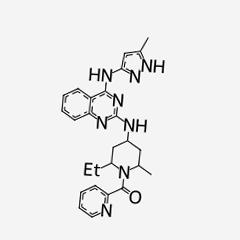 CCC1CC(Nc2nc(Nc3cc(C)[nH]n3)c3ccccc3n2)CC(C)N1C(=O)c1ccccn1